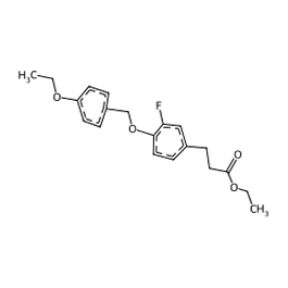 CCOC(=O)CCc1ccc(OCc2ccc(OCC)cc2)c(F)c1